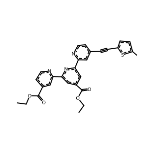 CCOC(=O)c1ccnc(-c2cc(C(=O)OCC)cc(-c3cc(C#Cc4ccc(C)s4)ccn3)n2)c1